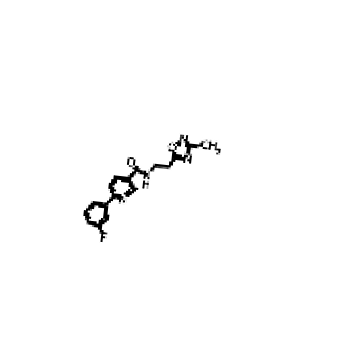 Cc1noc(CCNC(=O)c2ccc(-c3cccc(F)c3)nc2)n1